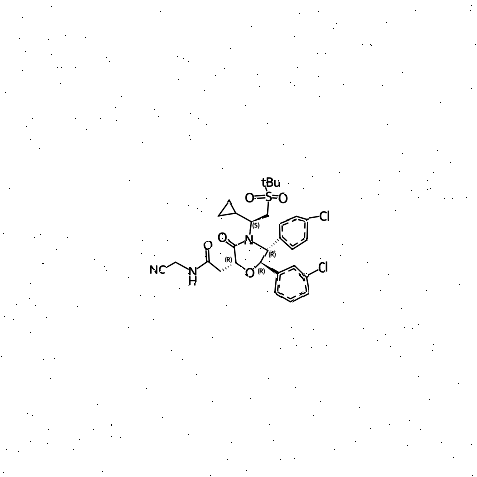 CC(C)(C)S(=O)(=O)C[C@H](C1CC1)N1C(=O)[C@@H](CC(=O)NCC#N)O[C@H](c2cccc(Cl)c2)[C@H]1c1ccc(Cl)cc1